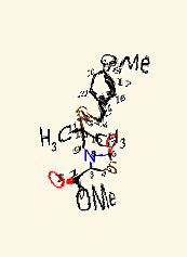 COC(=O)[C@@H]1CSC(=O)N1CC(C)(C)SCc1ccc(OC)cc1